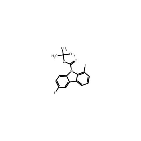 CC(C)(C)OC(=O)n1c2ccc(F)cc2c2cccc(I)c21